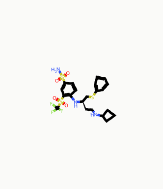 NS(=O)(=O)c1ccc(N[C@H](CCNC2CCC2)CSc2ccccc2)c(S(=O)(=O)C(F)(F)F)c1